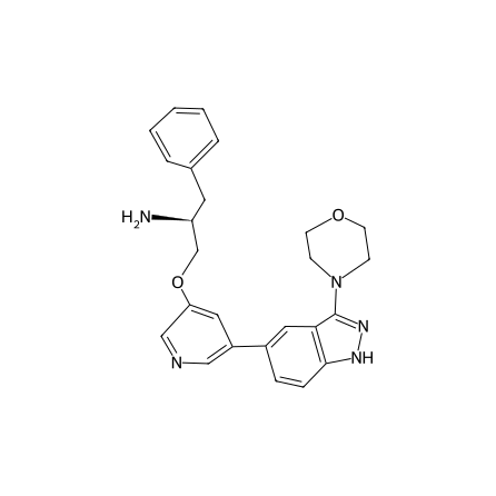 N[C@H](COc1cncc(-c2ccc3[nH]nc(N4CCOCC4)c3c2)c1)Cc1ccccc1